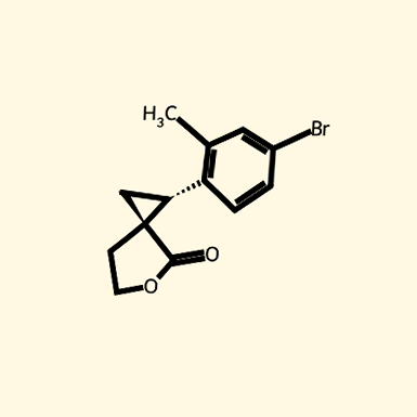 Cc1cc(Br)ccc1[C@H]1C[C@@]12CCOC2=O